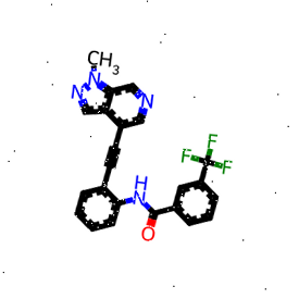 Cn1ncc2c(C#Cc3ccccc3NC(=O)c3cccc(C(F)(F)F)c3)cncc21